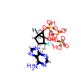 C[C@]1(F)[C@H](n2cnc3c(N)ncnc32)C[C@@H]2C(OP(=O)(O)OP(=O)(O)OP(=O)(O)O)[C@@]21O